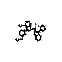 CC(c1cc2ccccn2c1-c1ccccn1)n1nc(-c2cccc(SN)c2)c2c(N)ncnc21